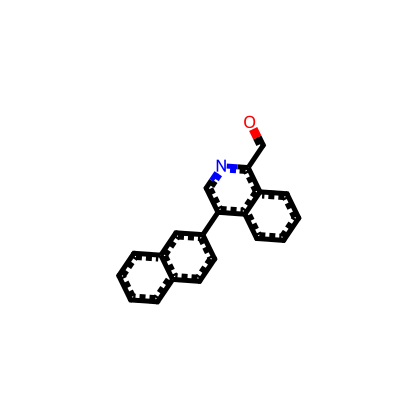 O=Cc1ncc(-c2ccc3ccccc3c2)c2ccccc12